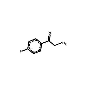 NCC(=O)c1ccc(F)cc1